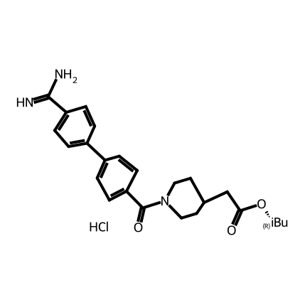 CC[C@@H](C)OC(=O)CC1CCN(C(=O)c2ccc(-c3ccc(C(=N)N)cc3)cc2)CC1.Cl